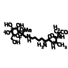 CO[C@@]1(C(F)(F)CNCCCC[C@H](N)C(=O)N[C@@H](C)C(=O)N[C@@H](C)C(=O)O)O[C@H](CO)[C@H](O)[C@H](O)[C@H]1O